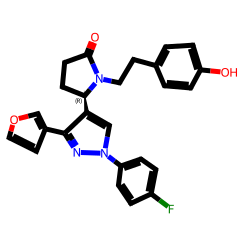 O=C1CC[C@H](c2cn(-c3ccc(F)cc3)nc2-c2ccoc2)N1CCc1ccc(O)cc1